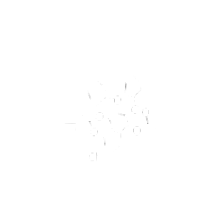 CC(=O)Oc1c(Oc2ccccc2)c(Oc2ccccc2)c(OC(=O)CC(C)C)c2cc(Cl)ccc12